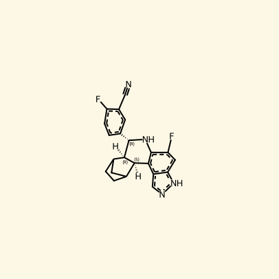 N#Cc1cc([C@@H]2Nc3c(F)cc4[nH]ncc4c3[C@H]3C4CCC(C4)[C@@H]23)ccc1F